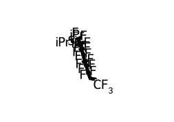 CC(C)[Si](C(C)C)(C(C)C)C(F)(F)C(F)(F)C(F)(F)C(F)(F)C(F)(F)C(F)(F)C(F)(F)CCC(F)(F)F